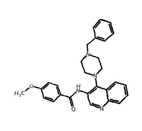 COc1ccc(C(=O)Nc2cnc3ccccc3c2N2CCN(Cc3ccccc3)CC2)cc1